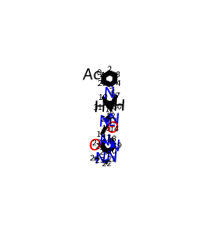 CC(=O)c1cccc(N2C[C@@H]3[C@H](C2)[C@H]3c2noc(Cn3cnc4ncn(C)c4c3=O)n2)c1